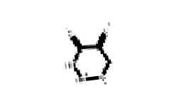 O=C1C[N]NNC1=O